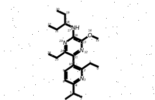 CCc1nc(C(C)C)ccc1-c1nc(OC)c(NC(CC)CC)nc1CC